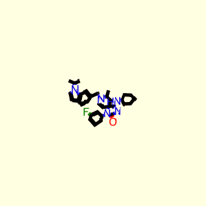 CC1CC2(CCN1Cc1ccc3ccn(C(C)C)c3c1)C(NC1CCCCC1)=NC(=O)N2C1C=C(F)C=CC1